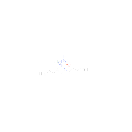 CCCCCN(CCCCC)P(N)(=O)NCl